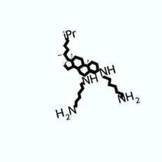 CC(C)CCC[C@@H](C)[C@H]1CCC2C3C[C@@H](NCCCCCCN)C4=C[C@@H](NCCCCCCN)CC[C@]4(C)C3CC[C@@]21C